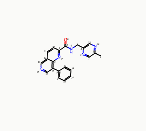 Cc1cnc(CNC(=O)c2ccc3cncc(-c4ccccc4)c3n2)cn1